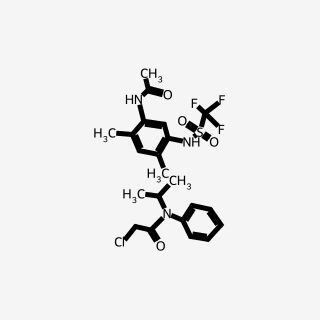 CC(=O)Nc1cc(NS(=O)(=O)C(F)(F)F)c(C)cc1C.CC(C)N(C(=O)CCl)c1ccccc1